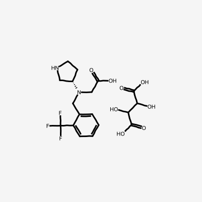 O=C(O)C(O)C(O)C(=O)O.O=C(O)CN(Cc1ccccc1C(F)(F)F)[C@H]1CCNC1